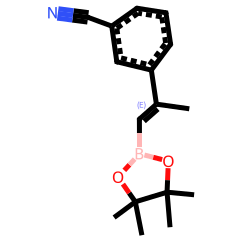 C/C(=C\B1OC(C)(C)C(C)(C)O1)c1cccc(C#N)c1